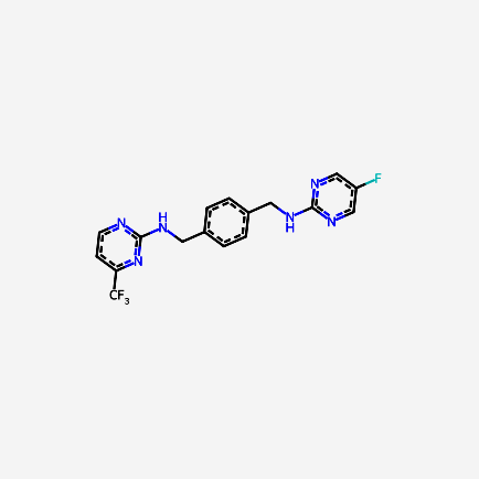 Fc1cnc(NCc2ccc(CNc3nccc(C(F)(F)F)n3)cc2)nc1